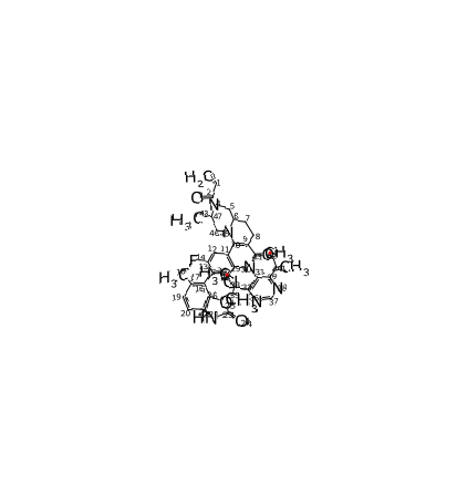 C=CC(=O)N1CC2CCc3c(c4cc(F)c(-c5c(C)ccc6[nH]c(=O)oc56)c(Cl)c4n(-c4c(C(C)C)ncnc4C(C)C)c3=O)N2CC1C